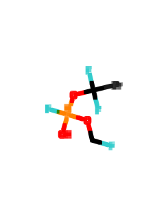 CC(C)C(F)(F)O[PH](O)(F)OCF